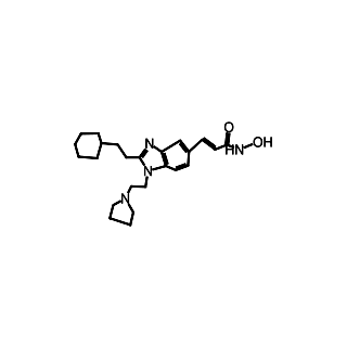 O=C(/C=C/c1ccc2c(c1)nc(CCC1CCCCC1)n2CCN1CCCC1)NO